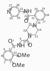 COc1cccc(C(=O)NCC(=O)N2CCN(c3ccccc3C(=O)Nc3ccncc3)CC2)c1OC